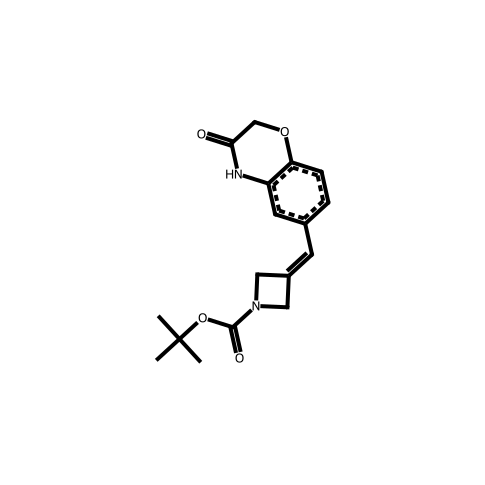 CC(C)(C)OC(=O)N1CC(=Cc2ccc3c(c2)NC(=O)CO3)C1